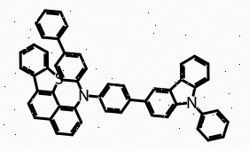 c1ccc(-c2ccc(N(c3ccc(-c4ccc5c(c4)c4ccccc4n5-c4ccccc4)cc3)c3cccc4ccc5c6ccccc6sc5c34)cc2)cc1